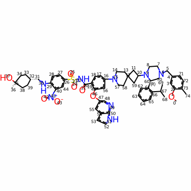 COc1cc(CN2CCN(C3CC4(CCN(c5ccc(C(=O)NS(=O)(=O)c6ccc(NC[C@H]7CC[C@](C)(O)CC7)c([N+](=O)[O-])c6)c(Oc6cnc7[nH]ccc7c6)c5)CC4)C3)[C@H](c3ccccc3C(C)C)C2)ccc1C